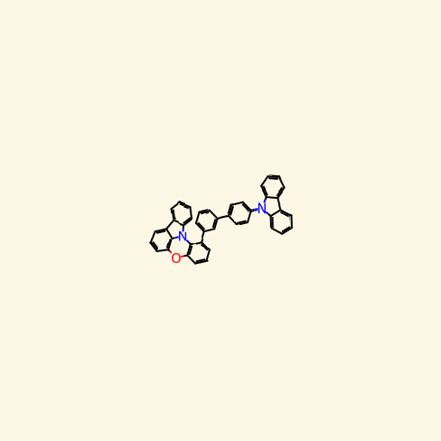 c1cc(-c2ccc(-n3c4ccccc4c4ccccc43)cc2)cc(-c2cccc3c2-n2c4ccccc4c4cccc(c42)O3)c1